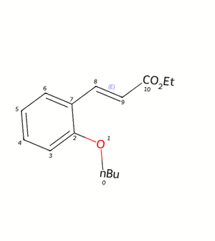 CCCCOc1ccccc1/C=C/C(=O)OCC